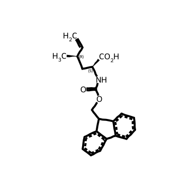 C=C[C@H](C)C[C@H](NC(=O)OCC1c2ccccc2-c2ccccc21)C(=O)O